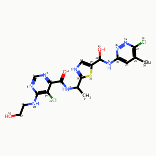 CC(NC(=O)c1ncnc(NCCO)c1Cl)c1ncc(C(O)Nc2cc(C(C)(C)C)c(Cl)nn2)s1